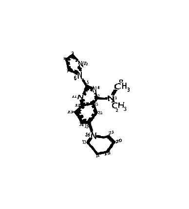 CN(C)c1nc(-n2cccn2)nc2ccc(N3CCCCC3)cc12